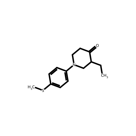 CCC1CN(c2ccc(SC)cc2)CCC1=O